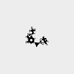 CC1(C)OB([C@H]2C[C@@H]2c2cc(F)c3cnn(CC(F)(F)F)c3c2)OC1(C)C